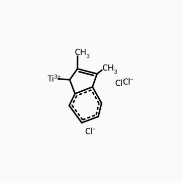 CC1=C(C)[CH]([Ti+3])c2ccccc21.[Cl-].[Cl-].[Cl-]